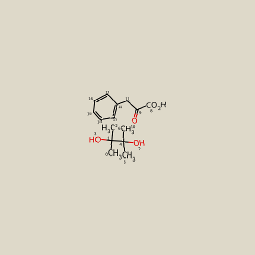 CC(C)(O)C(C)(C)O.O=C(O)C(=O)Cc1ccccc1